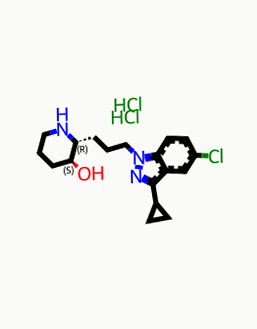 Cl.Cl.O[C@H]1CCCN[C@@H]1CCCn1nc(C2CC2)c2cc(Cl)ccc21